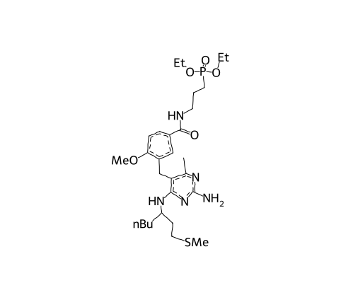 CCCCC(CCSC)Nc1nc(N)nc(C)c1Cc1cc(C(=O)NCCCP(=O)(OCC)OCC)ccc1OC